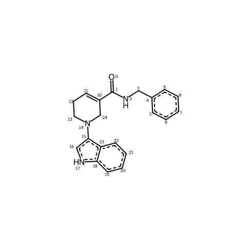 O=C(NCc1ccccc1)C1=CCCN(c2c[nH]c3ccccc23)C1